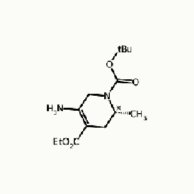 CCOC(=O)C1=C(N)CN(C(=O)OC(C)(C)C)[C@H](C)C1